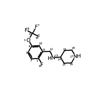 Fc1ccc(OC(F)(F)F)cc1CNC1CCNCC1